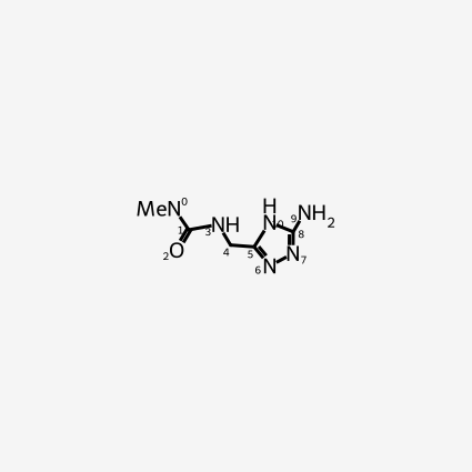 CNC(=O)NCc1nnc(N)[nH]1